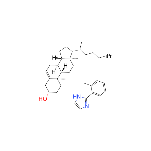 CC(C)CCCC(C)[C@H]1CC[C@H]2[C@@H]3CC=C4C[C@@H](O)CC[C@]4(C)[C@H]3CC[C@]12C.Cc1ccccc1-c1ncc[nH]1